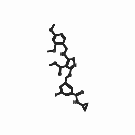 COC(=O)c1c(OCc2cc(F)cc(C(=O)NC3CC3)c2)nsc1NCc1ccc(OC)cc1OC